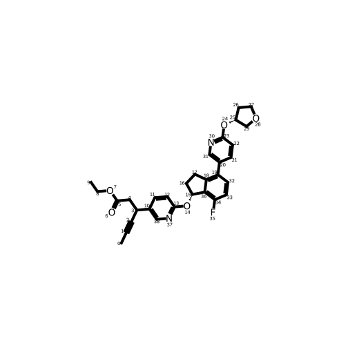 CC#CC(CC(=O)OCC)c1ccc(O[C@@H]2CCc3c(-c4ccc(O[C@@H]5CCOC5)nc4)ccc(F)c32)nc1